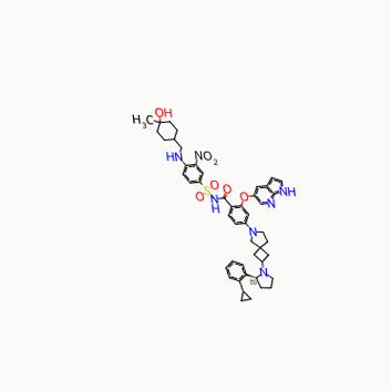 CC1(O)CCC(CNc2ccc(S(=O)(=O)NC(=O)c3ccc(N4CCC5(CC(N6CCC[C@H]6c6ccccc6C6CC6)C5)C4)cc3Oc3cnc4[nH]ccc4c3)cc2[N+](=O)[O-])CC1